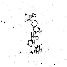 CCN(CC)C(=O)N1CCc2cc(F)c(C(=O)Nc3cccc(-c4nnnn4C(C)C)n3)cc2C1